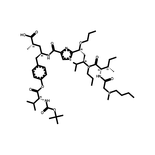 CCCCN(C)CC(=O)N[C@H](C(=O)N(CCC)[C@H](C[C@@H](OCCC)c1nc(C(=O)N[C@@H](Cc2ccc(OC(=O)[C@H](NC(=O)OC(C)(C)C)C(C)C)cc2)C[C@H](C)C(=O)O)cs1)C(C)C)[C@@H](C)CC